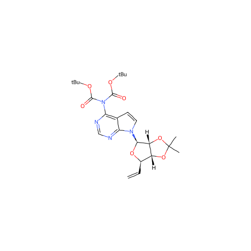 C=C[C@H]1O[C@@H](n2ccc3c(N(C(=O)OC(C)(C)C)C(=O)OC(C)(C)C)ncnc32)[C@@H]2OC(C)(C)O[C@@H]21